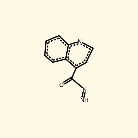 N=NC(=O)c1ccnc2ccccc12